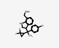 CSCc1cccc2c1NCC2C(C)(c1ccc(Cl)cc1)C1CC1(F)F